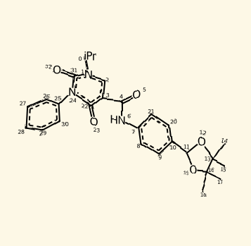 CC(C)n1cc(C(=O)Nc2ccc(C3OC(C)(C)C(C)(C)O3)cc2)c(=O)n(-c2ccccc2)c1=O